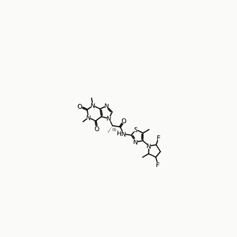 Cc1sc(NC(=O)[C@H](C)n2cnc3c2c(=O)n(C)c(=O)n3C)nc1N1C(F)CC(F)C1C